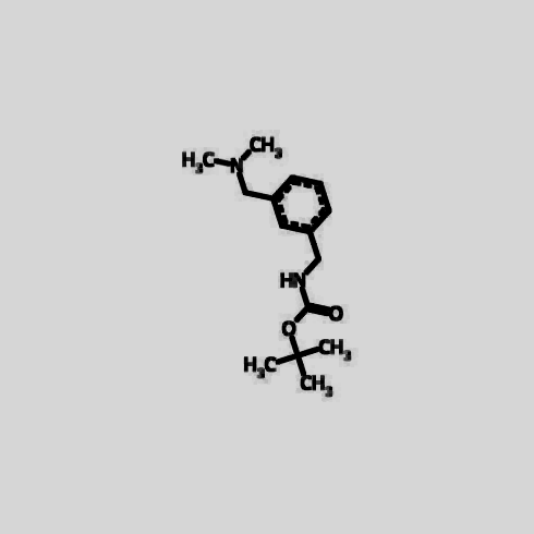 CN(C)Cc1cccc(CNC(=O)OC(C)(C)C)c1